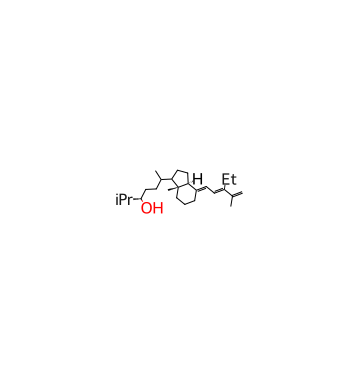 C=C(C)/C(=C/C=C1\CCC[C@]2(C)C(C(C)CC[C@@H](O)C(C)C)CC[C@@H]12)CC